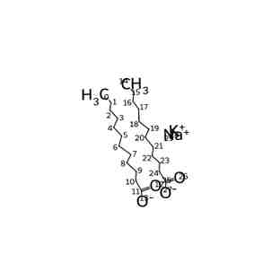 CCCCCCCCCCCC(=O)[O-].CCCCCCCCCCCC(=O)[O-].[K+].[Na+]